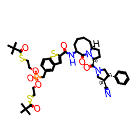 CC(C)(C)C(=O)SCCOP(=O)(Cc1ccc2sc(C(=O)NC3CCCC[C@H]4CC[C@@H](C(=O)N5C[C@H](c6ccccc6)[C@@H](C#N)C5)N4C3=O)cc2c1)OCCSC(=O)C(C)(C)C